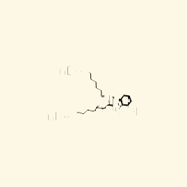 CCCCCCCCCCCCCCCCc1c[nH]c[n+]1CCCCCCCCCCCCCCCC.O=C([O-])c1ccccc1O